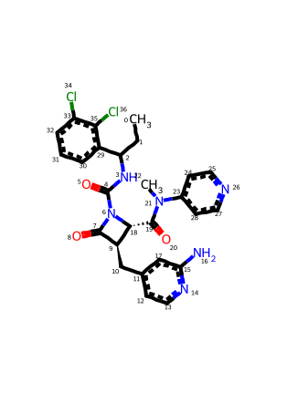 CCC(NC(=O)N1C(=O)[C@H](Cc2ccnc(N)c2)[C@H]1C(=O)N(C)c1ccncc1)c1cccc(Cl)c1Cl